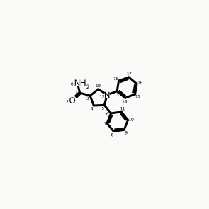 NC(=O)C1CC(c2ccccc2)N(c2ccccc2)C1